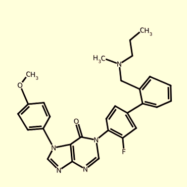 CCCN(C)Cc1ccccc1-c1ccc(-n2cnc3ncn(-c4ccc(OC)cc4)c3c2=O)c(F)c1